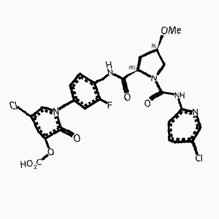 CO[C@@H]1C[C@H](C(=O)Nc2ccc(-n3cc(Cl)cc(OC(=O)O)c3=O)cc2F)N(C(=O)Nc2ccc(Cl)cn2)C1